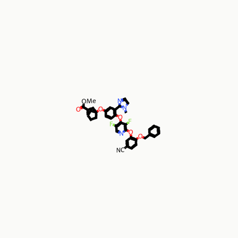 COC(=O)C1CC2(Oc3ccc(Oc4c(F)cnc(Oc5cc(C#N)ccc5OCc5ccccc5)c4F)c(C4N=CCN4C)c3)CCC1C2